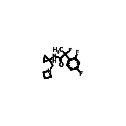 CC(F)(C(=O)NC1(CN2CCC2)CC1)c1ccc(F)cc1F